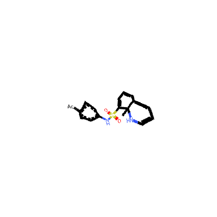 CC(=O)c1ccc(NS(=O)(=O)C2=CC=CC3=CC=CNC32C)cc1